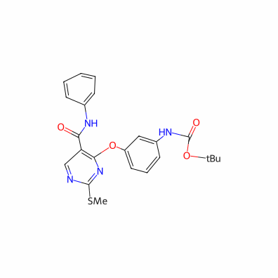 CSc1ncc(C(=O)Nc2ccccc2)c(Oc2cccc(NC(=O)OC(C)(C)C)c2)n1